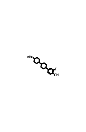 CCCCC1CCC(C2CCC(c3ccc(C#N)c(F)c3)CC2)CC1